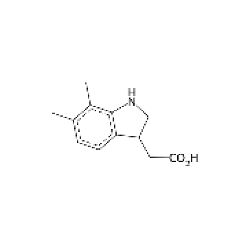 Cc1ccc2c(c1C)NCC2CC(=O)O